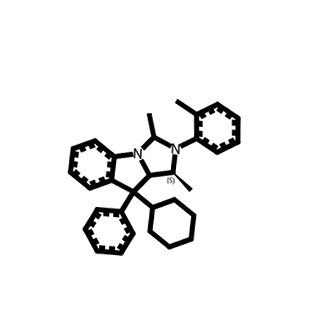 Cc1ccccc1N1C(C)N2c3ccccc3C(c3ccccc3)(C3CCCCC3)C2[C@@H]1C